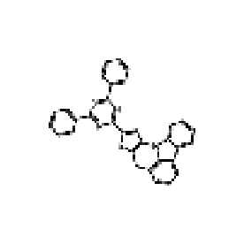 c1ccc(-c2nc(-c3ccccc3)nc(-c3cc4c(s3)Cc3cccc5c6ccccc6n-4c35)n2)cc1